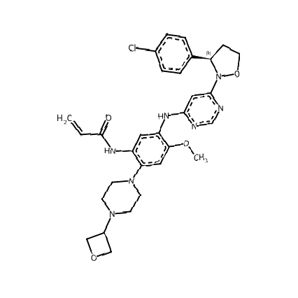 C=CC(=O)Nc1cc(Nc2cc(N3OCC[C@@H]3c3ccc(Cl)cc3)ncn2)c(OC)cc1N1CCN(C2COC2)CC1